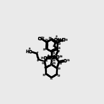 COCCN1C[C@H](CCO)C2CCCC(C1=O)N2S(=O)(=O)c1cc(Cl)cc(Cl)c1